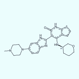 CN1CCN(c2ccc3nc(-c4c(N[C@@H]5CCCOC5)c5ccsc5[nH]c4=O)[nH]c3c2)CC1